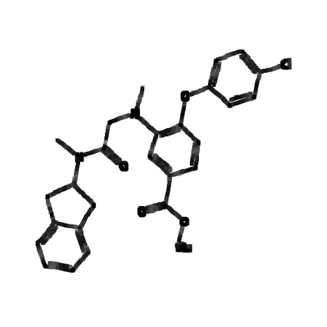 CN(CC(=O)N(C)C1Cc2ccccc2C1)c1cc(C(=O)OC(C)(C)C)ccc1Oc1ccc(Cl)cc1